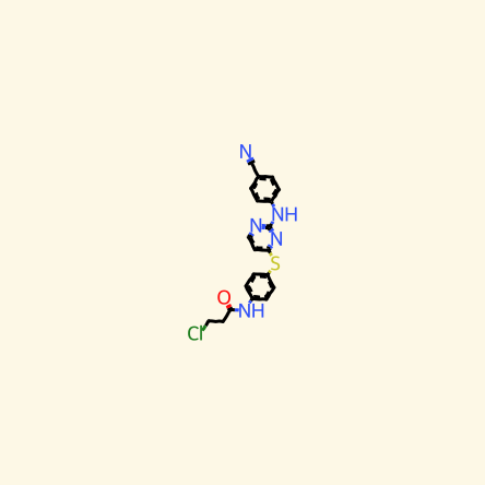 N#Cc1ccc(Nc2nccc(Sc3ccc(NC(=O)CCCl)cc3)n2)cc1